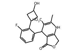 CC1=C(C(=O)O)C(c2cccc(F)c2C2CC(O)C2)C2=C(COC2=O)N1